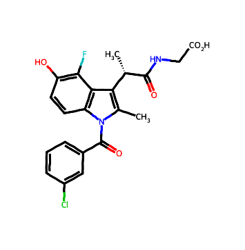 Cc1c([C@H](C)C(=O)NCC(=O)O)c2c(F)c(O)ccc2n1C(=O)c1cccc(Cl)c1